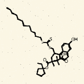 CCCCCCCCCCCCSC(=S)SCC(CC(C)(C(=O)OC1(CC)CCCC1)C(C)(C)C(=O)O)c1cccc2cc(O)ccc12